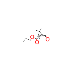 CCCOC(=O)[C@H]1[C@H](C=O)C1(C)C